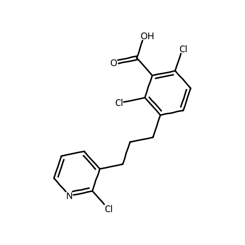 O=C(O)c1c(Cl)ccc(CCCc2cccnc2Cl)c1Cl